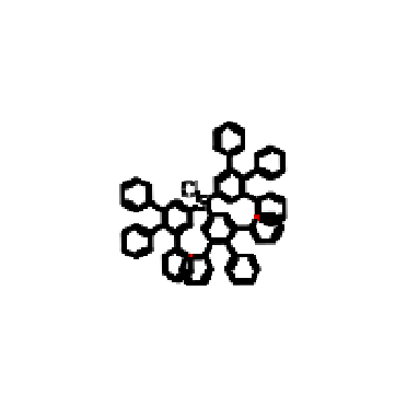 Cl[Si](c1cc(-c2ccccc2)c(-c2ccccc2)c(-c2ccccc2)c1)(c1cc(-c2ccccc2)c(-c2ccccc2)c(-c2ccccc2)c1)c1cc(-c2ccccc2)c(-c2ccccc2)c(-c2ccccc2)c1